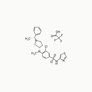 C[C@H](c1ccccc1)N1CC[C@H](N(C)c2ccc(S(=O)(=O)Nc3cscn3)cc2Cl)C1.O=C(O)C(F)(F)F